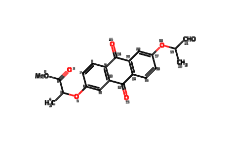 COC(=O)C(C)Oc1ccc2c(c1)C(=O)c1ccc(OC(C)C=O)cc1C2=O